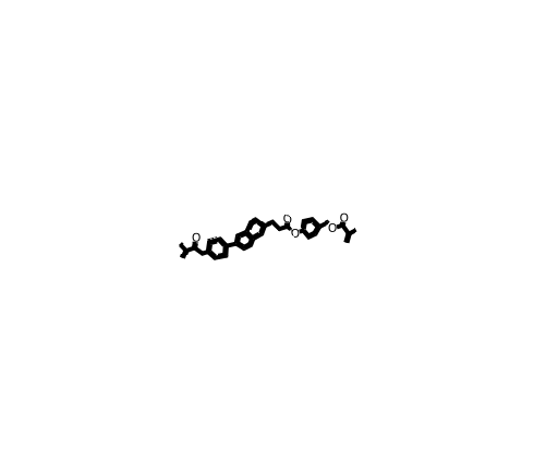 C=C(C)C(=O)Cc1ccc(-c2ccc3cc(CCC(=O)Oc4ccc(COC(=O)C(=C)C)cc4)ccc3c2)cc1